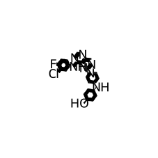 O[C@H]1CC[C@H](NC2CCN(c3ncc4ncnc(Nc5ccc(F)c(Cl)c5)c4n3)CC2)CC1